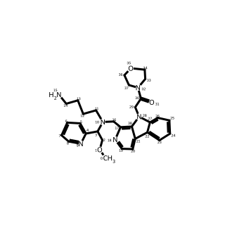 COCC(c1ccccn1)N(CCCCN)Cc1nccc2c3ccccc3n(CC(=O)N3CCOCC3)c12